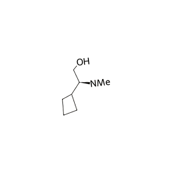 CN[C@H](CO)C1CCC1